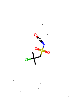 CC(C)(Cl)CS(=O)(=O)N=C=O